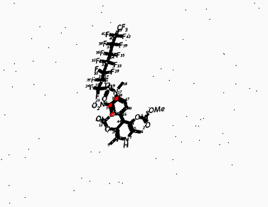 COC(=O)OC1=C(C)NC(C)=C(OC(=O)OCCN(C)S(=O)(=O)C(F)(F)C(F)(F)C(F)(F)C(F)(F)C(F)(F)C(F)(F)C(F)(F)C(F)(F)F)C1c1cccc([N+](=O)[O-])c1